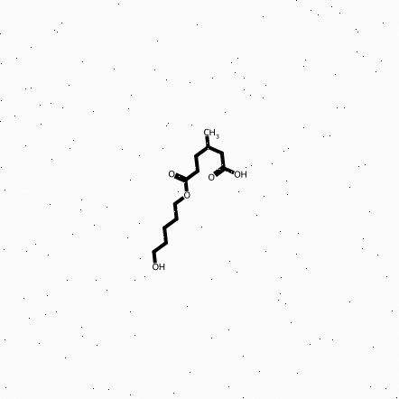 CC(CCC(=O)OCCCCCO)CC(=O)O